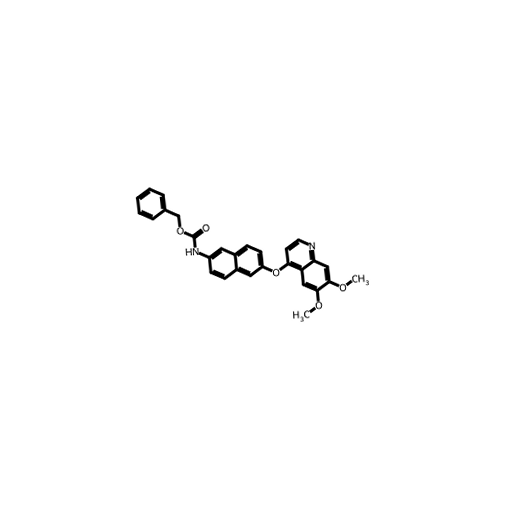 COc1cc2nccc(Oc3ccc4cc(NC(=O)OCc5ccccc5)ccc4c3)c2cc1OC